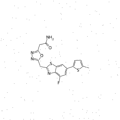 Cc1ccc(-c2cc(F)c3nc(Cc4nnc(CC(N)=O)o4)sc3c2)s1